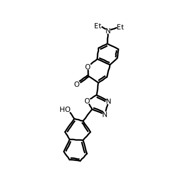 CCN(CC)c1ccc2cc(-c3nnc(-c4cc5ccccc5cc4O)o3)c(=O)oc2c1